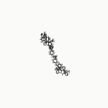 Cn1c(=O)n(C2CCC(=O)NC2=O)c2cccc(C[C@H]3CC[C@H](N(C)C[C@H]4CC[C@H](n5cc6cc(NC(=O)c7cccc(C(F)(F)F)n7)c(C(F)F)cc6n5)CC4)CC3)c21